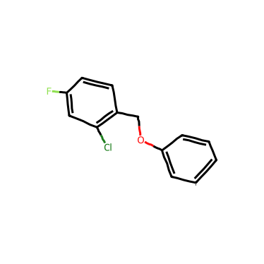 Fc1ccc(COc2c[c]ccc2)c(Cl)c1